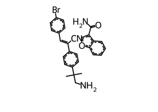 CC(C)(CN)c1ccc(/C(C#N)=C/c2ccc(Br)cc2)cc1.NC(=O)c1coc2ccccc12